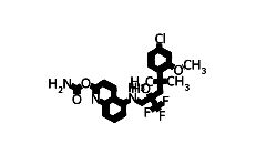 COc1cc(Cl)ccc1C(C)(C)CC(O)(CNc1cccc2nc(OC(N)=O)ccc12)C(F)(F)F